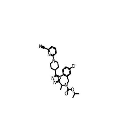 CC(C)OC(=O)N1Cc2cc(Cl)ccc2-n2c(C3CCN(c4cccc(C#N)n4)CC3)nnc2C1C